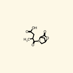 CC(CC(=O)O)C(=O)N1CC2CC1C(=O)O2